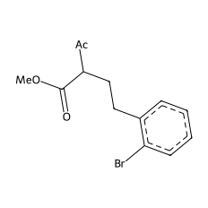 COC(=O)C(CCc1ccccc1Br)C(C)=O